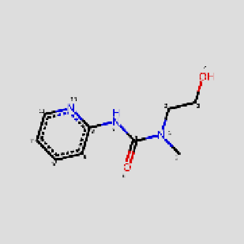 CN(CCO)C(=O)Nc1ccccn1